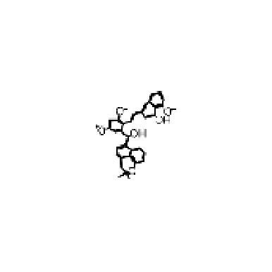 COc1cc(OC)c(CCc2cc(O)c3c(OC)cccc3c2)c(C(O)c2ccc3c4c(cccc24)OC(C)(C)C3)c1